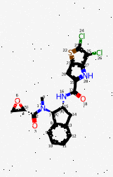 CN(C(=O)[C@@H]1CO1)[C@@H]1c2ccccc2C[C@H]1NC(=O)c1cc2sc(Cl)c(Cl)c2[nH]1